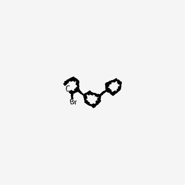 Brc1ccccc1-c1cccc(-c2ccccc2)c1